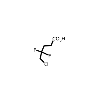 O=C(O)CCC(F)(F)CCl